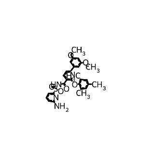 COc1cc(OC)cc(-c2ccc(C(=O)NS(=O)(=O)c3cccc(N)n3)c(Oc3c(C)cc(C)cc3C)n2)c1